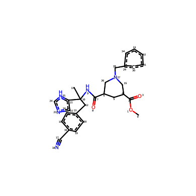 COC(=O)C1CC(C(=O)NC(C)(Cc2ccc(C#N)cc2)c2cnc[nH]2)CN(Cc2ccccc2)C1